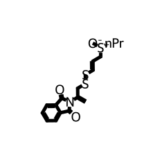 C=C(CSSC=CC[S+]([O-])CCC)N1C(=O)c2ccccc2C1=O